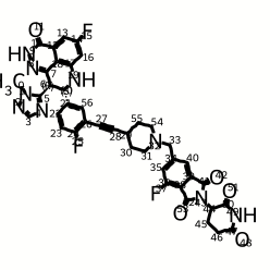 Cn1ncnc1[C@H]1c2n[nH]c(=O)c3cc(F)cc(c23)N[C@@H]1c1ccc(F)c(C#CC2CCN(Cc3cc(F)c4c(c3)C(=O)N(C3CCC(=O)NC3=O)C4=O)CC2)c1